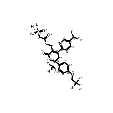 CS(=O)(=O)CC(=O)NCC1=C(c2ccc(C(F)F)cn2)C[C@](c2ccc(OCC(F)(F)F)cc2)(C(F)(F)F)NC1=O